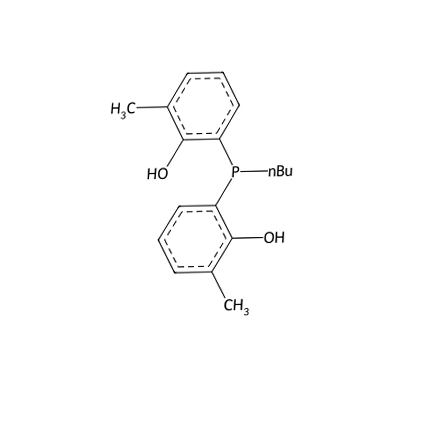 CCCCP(c1cccc(C)c1O)c1cccc(C)c1O